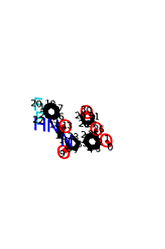 COc1ccc([C@@H]2CC(=O)N(CC(=O)Nc3cccc(F)c3F)C2)cc1O[C@@H]1CCOC1